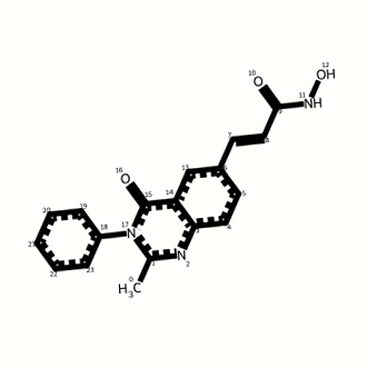 Cc1nc2ccc(C=CC(=O)NO)cc2c(=O)n1-c1ccccc1